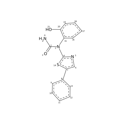 NC(=O)N(c1ncc(-c2ccccc2)s1)c1ccccc1O